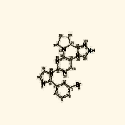 Brc1cccc(-c2nccn2-c2ncc3c(n2)N2CCCC2c2nncn2-3)c1